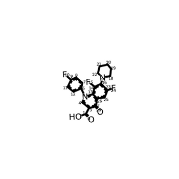 O=C(O)c1cn(-c2ccc(F)cc2)c2c(F)c(N3CCCCC3)c(F)cc2c1=O